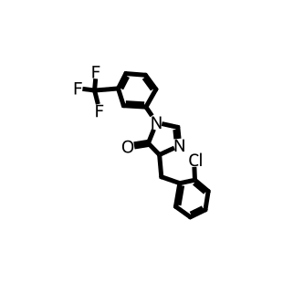 O=C1C(Cc2ccccc2Cl)N=CN1c1cccc(C(F)(F)F)c1